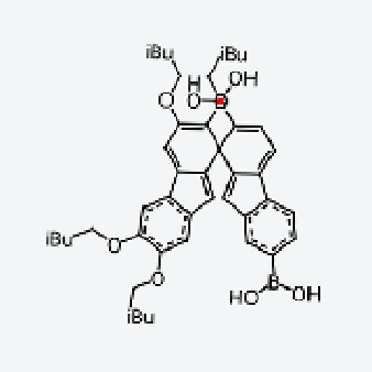 CCC(C)COC1=C(OCC(C)CC)C2(C(B(O)O)=CC=C3C2=Cc2cc(B(O)O)ccc23)C2=Cc3cc(OCC(C)CC)c(OCC(C)CC)cc3C2=C1